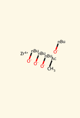 CC(C)=O.CCCC[O-].CCCC[O-].CCCC[O-].CCCC[O-].[Zr+4]